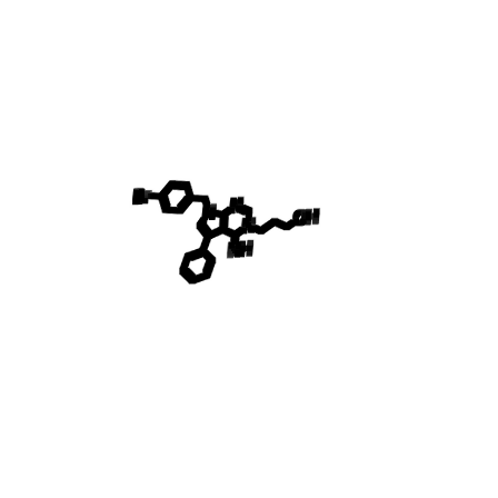 N=c1c2c(-c3ccccc3)cn(Cc3ccc(Br)cc3)c2ncn1CCCO